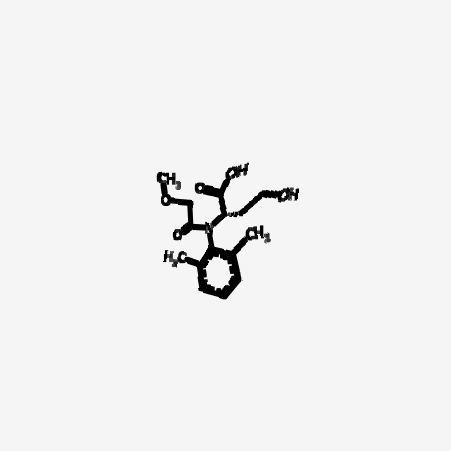 COCC(=O)N(c1c(C)cccc1C)[C@@H](CCO)C(=O)O